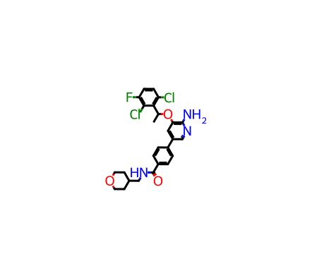 CC(Oc1cc(-c2ccc(C(=O)NCC3CCOCC3)cc2)cnc1N)c1c(Cl)ccc(F)c1Cl